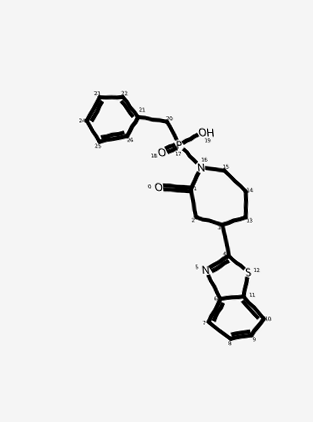 O=C1CC(c2nc3ccccc3s2)CCCN1P(=O)(O)Cc1ccccc1